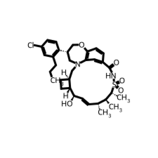 CCCc1cc(Cl)ccc1[C@@H]1COc2ccc3cc2N(C1)C[C@@H]1CC[C@H]1[C@H](O)/C=C/[C@@H](C)[C@H](C)[C@@H](C)S(=O)(=O)NC3=O